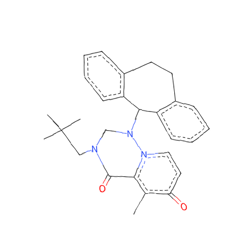 Cc1c2n(ccc1=O)N(C1c3ccccc3CCc3ccccc31)CN(CC(C)(C)C)C2=O